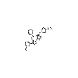 O=[N+]([O-])c1ccc(Cn2nnc(-c3cnn(-c4cccc(Cl)c4)c3SCc3ccccc3)n2)cc1